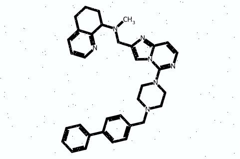 CN(Cc1cn2c(N3CCN(Cc4ccc(-c5ccccc5)cc4)CC3)nccc2n1)C1CCCc2cccnc21